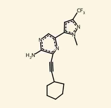 Cn1nc(C(F)(F)F)cc1-c1cnc(N)c(C#CC2CCCCC2)n1